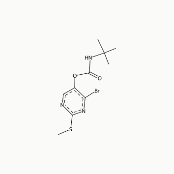 CSc1ncc(OC(=O)NC(C)(C)C)c(Br)n1